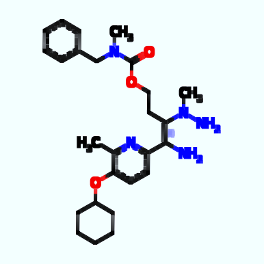 Cc1nc(/C(N)=C(\CCOC(=O)N(C)Cc2ccccc2)N(C)N)ccc1OC1CCCCC1